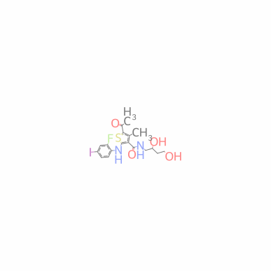 CC(=O)c1sc(Nc2ccc(I)cc2F)c(C(=O)NCC(O)CCO)c1C